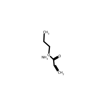 C=CC(=O)OCCC.N